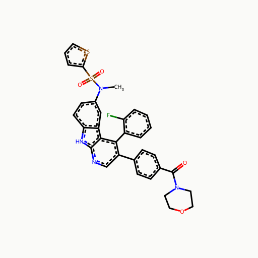 CN(c1ccc2[nH]c3ncc(-c4ccc(C(=O)N5CCOCC5)cc4)c(-c4ccccc4F)c3c2c1)S(=O)(=O)c1cccs1